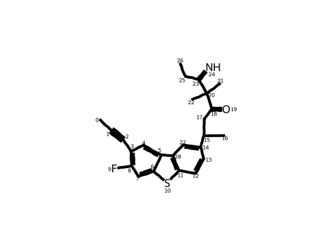 CC#Cc1cc2c(cc1F)sc1ccc(C(C)CC(=O)C(C)(C)C(=N)CC)cc12